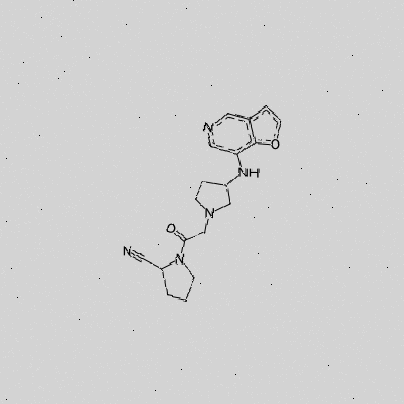 N#CC1CCCN1C(=O)CN1CCC(Nc2cncc3ccoc23)C1